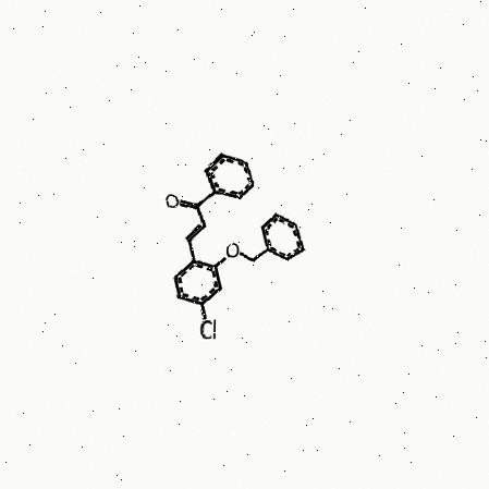 O=C(C=Cc1ccc(Cl)cc1OCc1ccccc1)c1ccccc1